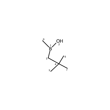 CB(O)CC(C)(C)C